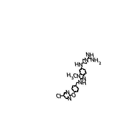 Cn1c(NCc2ccc(Oc3ncc(Cl)cn3)cc2)nc2ccc(NC3CN(C(=N)N)C3)cc21